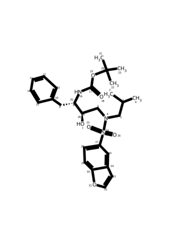 CC(C)CN(C[C@@H](O)[C@H](Cc1ccccc1)NC(=O)OC(C)(C)C)S(=O)(=O)c1ccc2occc2c1